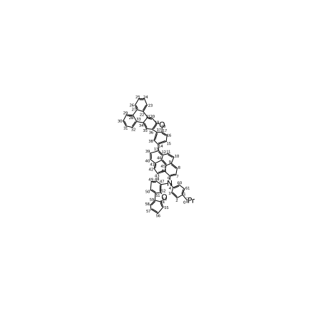 CC(C)c1ccc(N(c2ccc3ccc4c(-c5ccc6oc7cc8c9ccccc9c9ccccc9c8cc7c6c5)ccc5ccc2c3c54)c2cccc3c2oc2ccccc23)cc1